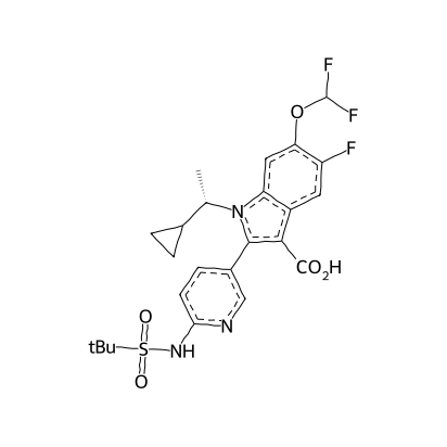 C[C@@H](C1CC1)n1c(-c2ccc(NS(=O)(=O)C(C)(C)C)nc2)c(C(=O)O)c2cc(F)c(OC(F)F)cc21